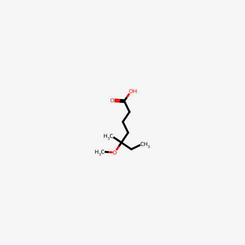 CCC(C)(CCCC(=O)O)OC